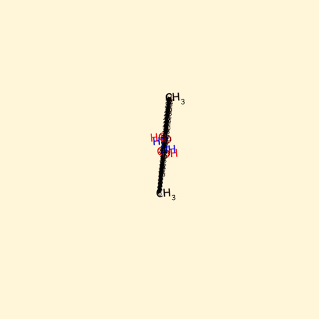 CCCCCCCCCCCCCCCCCCCCCCC(O)C(=O)NCCCCNC(=O)C(O)CCCCCCCCCCCCCCCCCCCCCC